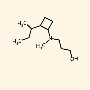 CCC(C)C1CCC1N(C)CCCO